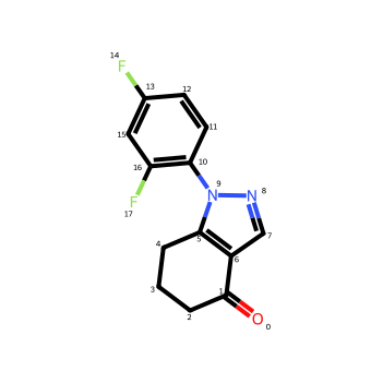 O=C1CCCc2c1cnn2-c1ccc(F)cc1F